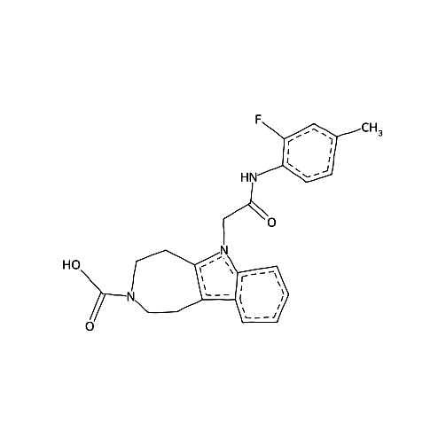 Cc1ccc(NC(=O)Cn2c3c(c4ccccc42)CCN(C(=O)O)CC3)c(F)c1